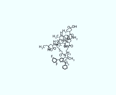 CCC(=O)C[C@@H](NC(=O)CCSCC(=O)N(CCCNC(=O)[C@H](CC(N)=O)NC(=O)[C@@H](C)NC(=O)[C@H](C)NC(=O)CNC(=O)C(C)CC(=O)O)[C@@H](c1cc(-c2cc(F)ccc2F)cn1Cc1ccccc1)C(C)(C)C)C(=O)O